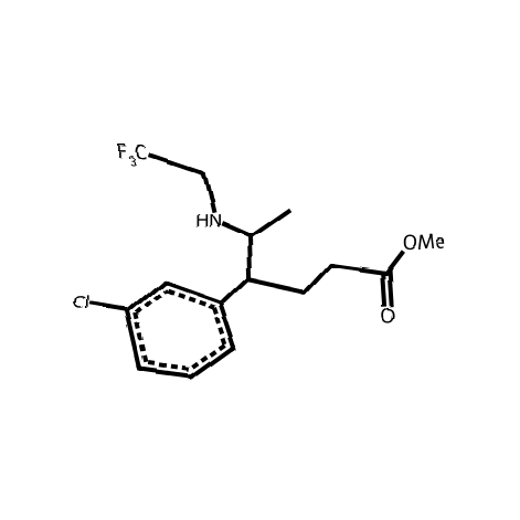 COC(=O)CCC(c1cccc(Cl)c1)C(C)NCC(F)(F)F